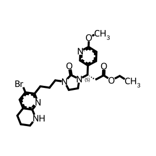 CCOC(=O)C[C@@H](c1ccc(OC)nc1)N1CCN(CCCc2nc3c(cc2Br)CCCN3)C1=O